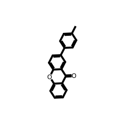 Cc1ccc(-c2ccc3oc4ccccc4c(=O)c3c2)cc1